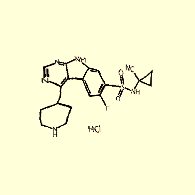 Cl.N#CC1(NS(=O)(=O)c2cc3[nH]c4ncnc(C5CCNCC5)c4c3cc2F)CC1